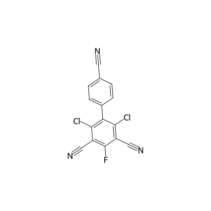 N#Cc1ccc(-c2c(Cl)c(C#N)c(F)c(C#N)c2Cl)cc1